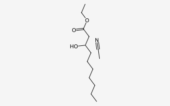 CC#N.CCCCCCCC(O)CC(=O)OCC